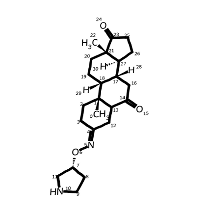 C[C@]12CC/C(=N\O[C@@H]3CCNC3)CC1C(=O)C[C@@H]1[C@H]2CC[C@]2(C)C(=O)CC[C@@H]12